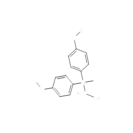 CCOc1ccc([Si](C)([SiH2][SiH3])c2ccc(OCC)cc2)cc1